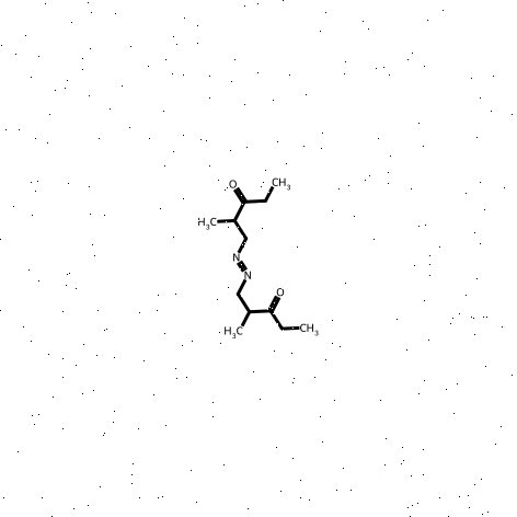 CCC(=O)C(C)CN=NCC(C)C(=O)CC